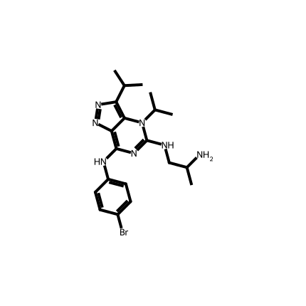 CC(N)CNc1nc(Nc2ccc(Br)cc2)c2nnc(C(C)C)c-2n1C(C)C